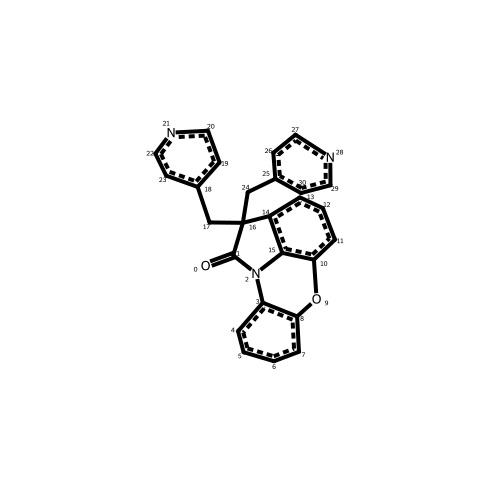 O=C1N2c3ccccc3Oc3cccc(c32)C1(Cc1ccncc1)Cc1ccncc1